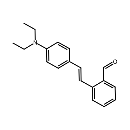 CCN(CC)c1ccc(/C=C/c2ccccc2C=O)cc1